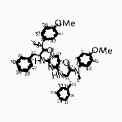 COc1ccc(N(C)C(=O)[C@H](Cc2ccccc2)Nc2ccnc(N[C@@H](Cc3ccccc3)C(=O)N(C)c3ccc(OC)cc3)n2)cc1